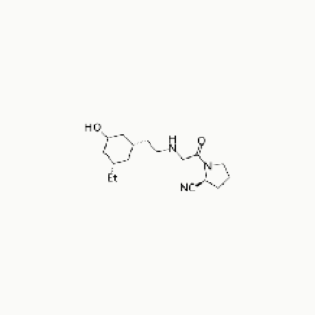 CC[C@@H]1CC(O)C[C@H](CCNCC(=O)N2CCC[C@H]2C#N)C1